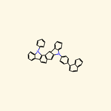 c1ccc(-n2c3ccccc3c3ccc4cc5c(cc4c32)c2ccccc2n5-c2ccc(-c3cccc4ccccc34)cc2)cc1